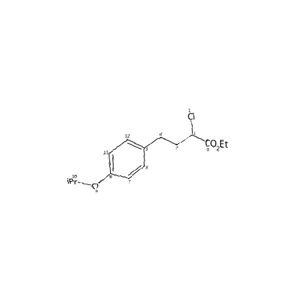 CCOC(=O)C(Cl)CCc1ccc(OC(C)C)cc1